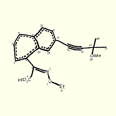 CCON=C(C(=O)O)c1cccc2ccc(C#CC(C)(C)OC)cc12